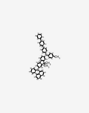 Cc1ccc(N(c2ccc(-c3ccc(-c4ccccc4)cc3)cc2)c2ccc3c(c2)C(C)(C)c2cc(N(c4ccccc4)c4cccc5ccccc45)ccc2-3)cc1